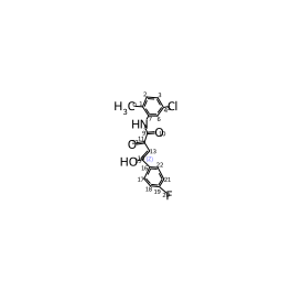 Cc1ccc(Cl)cc1NC(=O)C(=O)/C=C(\O)c1ccc(F)cc1